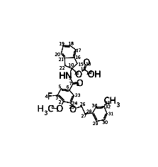 COc1c(F)cc(C(=O)NC2(OC(=O)O)Cc3ccccc3C2)cc1OCCc1cccc(C)c1